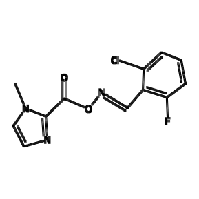 Cn1ccnc1C(=O)ON=Cc1c(F)cccc1Cl